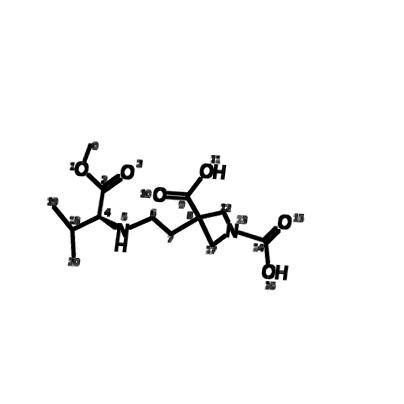 COC(=O)[C@@H](NCCC1(C(=O)O)CN(C(=O)O)C1)C(C)C